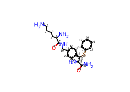 NCCCCC(N)C(=O)NCc1ccc2c(Sc3ccccc3)c(C(N)=O)[nH]c2c1